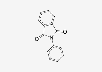 O=C1c2ccccc2C(=O)N1c1c[c]ccc1